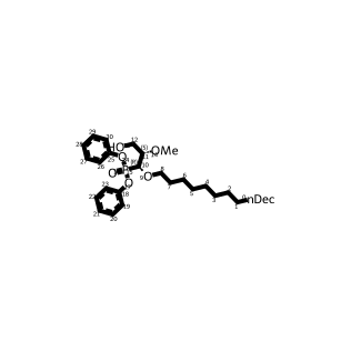 CCCCCCCCCCCCCCCCCCO[C@@H]([C@H](CO)OC)P(=O)(Oc1ccccc1)Oc1ccccc1